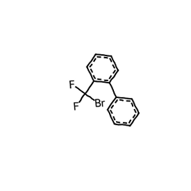 FC(F)(Br)c1ccccc1-c1ccccc1